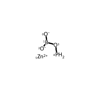 [O-]B([O-])OP.[Zn+2]